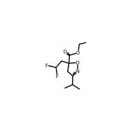 CCOC(=O)C1(CC(F)F)CC(C(C)C)=NO1